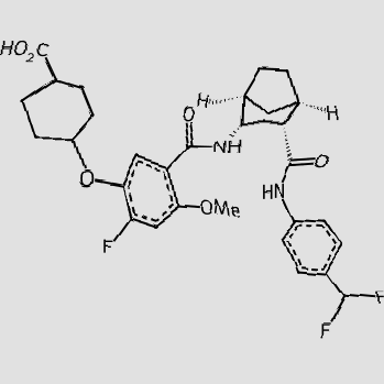 COc1cc(F)c(OC2CCC(C(=O)O)CC2)cc1C(=O)N[C@@H]1[C@H]2CC[C@H](C2)[C@@H]1C(=O)Nc1ccc(C(F)F)cc1